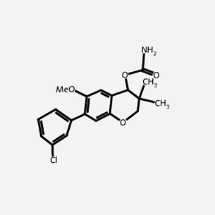 COc1cc2c(cc1-c1cccc(Cl)c1)OCC(C)(C)C2OC(N)=O